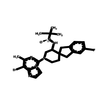 Cc1nc(N2CCC3(Cc4ccc(F)cc4C3)C(N[S@+]([O-])C(C)(C)C)C2)n2ccnc2c1Br